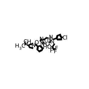 CN(C)[C@@H]1CCN(C(=O)c2ccccc2-n2cnc(Cn3nc(-c4ccc(Cl)cc4)n(C[C@H](O)C(F)(F)F)c3=O)n2)C1